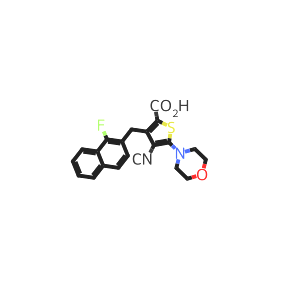 [C-]#[N+]c1c(N2CCOCC2)sc(C(=O)O)c1Cc1ccc2ccccc2c1F